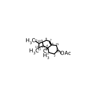 CC(=O)O[C@H]1CC[C@@]2(C)C(=CCC3C(C)C(C)C32)C1